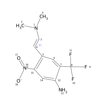 CN(C)/C=C/c1cc(C(F)(F)F)c(N)cc1[N+](=O)[O-]